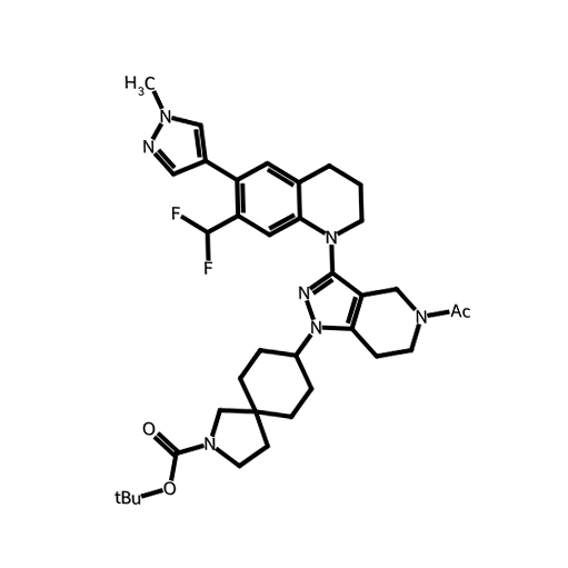 CC(=O)N1CCc2c(c(N3CCCc4cc(-c5cnn(C)c5)c(C(F)F)cc43)nn2C2CCC3(CC2)CCN(C(=O)OC(C)(C)C)C3)C1